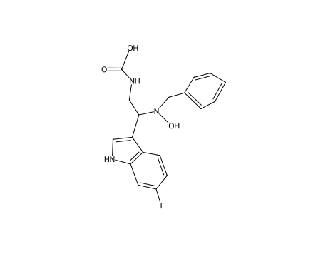 O=C(O)NCC(c1c[nH]c2cc(I)ccc12)N(O)Cc1ccccc1